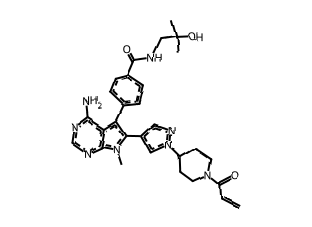 C=CC(=O)N1CCC(n2cc(-c3c(-c4ccc(C(=O)NCC(C)(C)O)cc4)c4c(N)ncnc4n3C)cn2)CC1